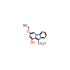 N#CCOc1cc(O)c2c(C(=O)O)c3ccccc3n2c1